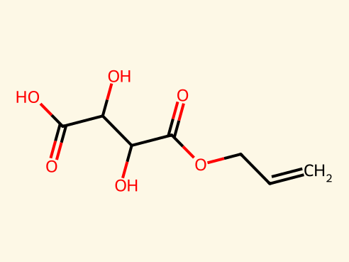 C=CCOC(=O)C(O)C(O)C(=O)O